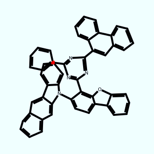 c1ccc(-c2nc(-c3cc4ccccc4c4ccccc34)nc(-c3c(-n4c5ccccc5c5cc6ccccc6cc54)ccc4c3oc3ccccc34)n2)cc1